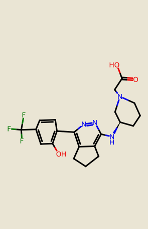 O=C(O)CN1CCC[C@@H](Nc2nnc(-c3ccc(C(F)(F)F)cc3O)c3c2CCC3)C1